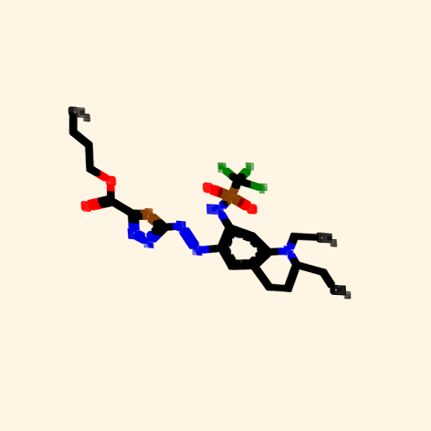 CCCCOC(=O)c1nnc(N=Nc2cc3c(cc2NS(=O)(=O)C(F)(F)F)N(CC)C(CC)CC3)s1